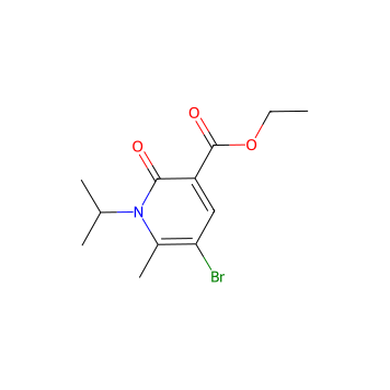 CCOC(=O)c1cc(Br)c(C)n(C(C)C)c1=O